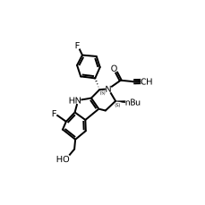 C#CC(=O)N1[C@@H](CCCC)Cc2c([nH]c3c(F)cc(CO)cc23)[C@@H]1c1ccc(F)cc1